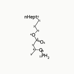 CCCCCCCCCCOC(=O)CC(C)OP